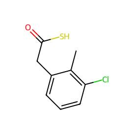 Cc1c(Cl)cccc1CC(=O)S